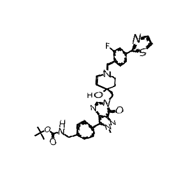 Cn1nc2c(=O)n(CC3(O)CCN(Cc4ccc(-c5nccs5)cc4F)CC3)cnc2c1-c1ccc(CNC(=O)OC(C)(C)C)cc1